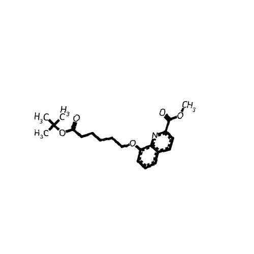 COC(=O)c1ccc2cccc(OCCCCCC(=O)OC(C)(C)C)c2n1